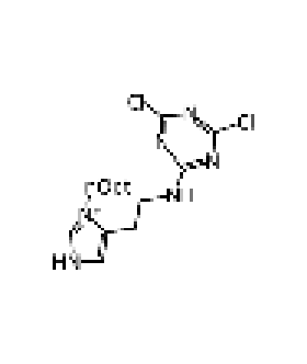 CCCCCCCC[n+]1c[nH]cc1CCNc1nc(Cl)nc(Cl)n1